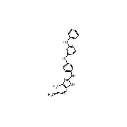 C=C/C=C\c1[nH]c(Bc2ccc(Bc3ccnc(Bc4ccccc4)n3)cc2)nc1C